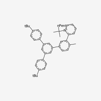 CCCCCC(C)(C)[n+]1ccccc1-c1cc(-c2cc(-c3ccc(C(C)(C)C)cc3)cc(-c3ccc(C(C)(C)C)cc3)c2)ccc1C